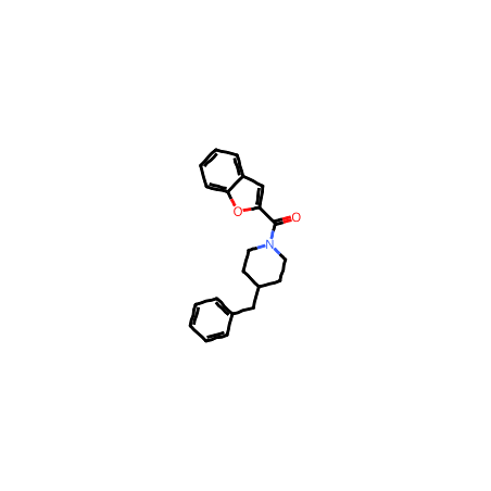 O=C(c1cc2ccccc2o1)N1CCC(Cc2ccccc2)CC1